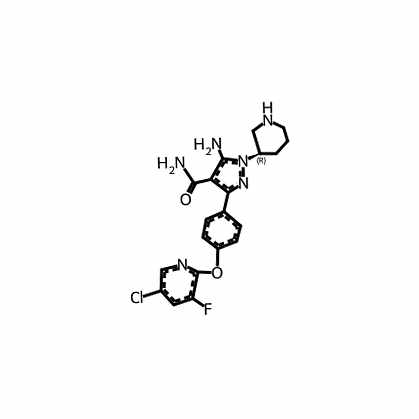 NC(=O)c1c(-c2ccc(Oc3ncc(Cl)cc3F)cc2)nn([C@@H]2CCCNC2)c1N